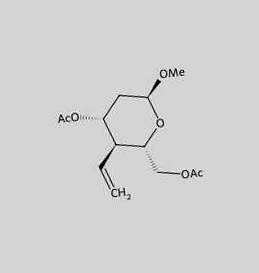 C=C[C@H]1[C@H](OC(C)=O)C[C@@H](OC)O[C@@H]1COC(C)=O